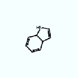 [C]1=CNC2C=CC=CC12